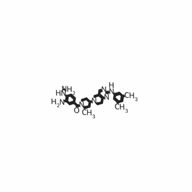 Cc1cc(C)cc(Nc2ncc3c(n2)CCN(C2CCN(C(=O)c4ccc(NN)c(N)c4)[C@@H](C)C2)C3)c1